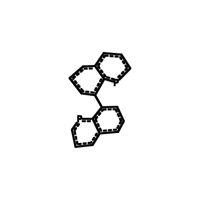 c1cpc2c(-c3cccc4cccpc34)cccc2c1